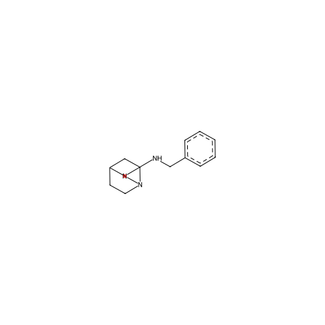 c1ccc(CNN2CC3CCN2CC3)cc1